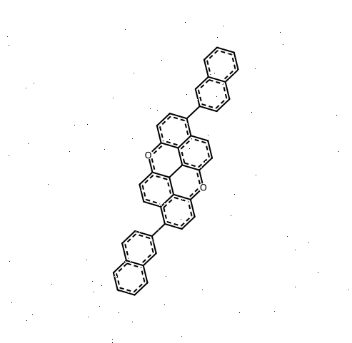 c1ccc2cc(-c3ccc4oc5ccc6c(-c7ccc8ccccc8c7)ccc7oc8ccc3c4c8-c5c76)ccc2c1